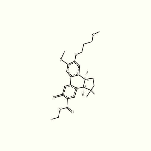 CCOC(=O)c1cn2c(cc1=O)-c1cc(OC)c(OCCCOC)cc1[C@H]1CCC(C)(C)[C@H]12